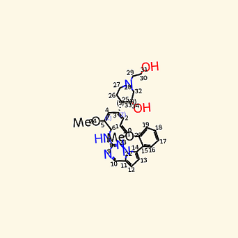 C=C/C=C(\C=C(/CNc1ncc2ccc(-c3ccccc3OC)n2n1)OC)[C@@H]1CCN(CCO)C[C@@H]1O